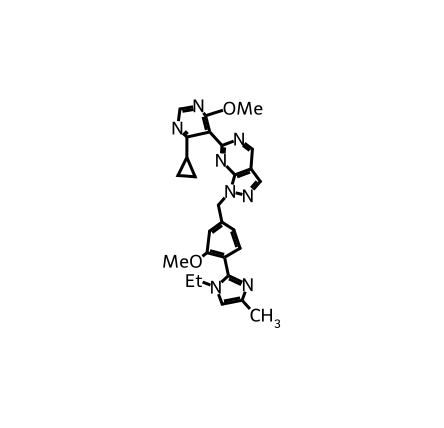 CCn1cc(C)nc1-c1ccc(Cn2ncc3cnc(-c4c(OC)ncnc4C4CC4)nc32)cc1OC